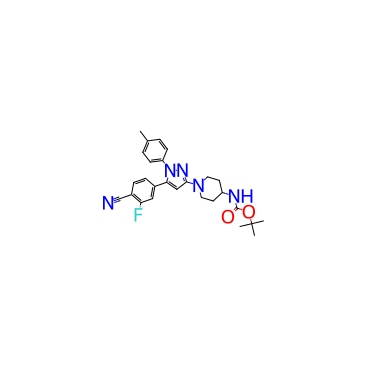 Cc1ccc(-n2nc(N3CCC(NC(=O)OC(C)(C)C)CC3)cc2-c2ccc(C#N)c(F)c2)cc1